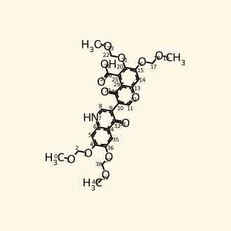 COCOc1cc2[nH]cc(-c3coc4cc(OCOC)c(OCOC)c(C(=O)O)c4c3=O)c(=O)c2cc1OCOC